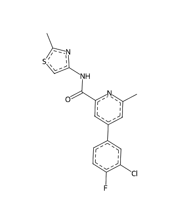 Cc1cc(-c2ccc(F)c(Cl)c2)cc(C(=O)Nc2csc(C)n2)n1